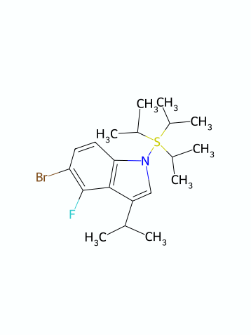 CC(C)c1cn(S(C(C)C)(C(C)C)C(C)C)c2ccc(Br)c(F)c12